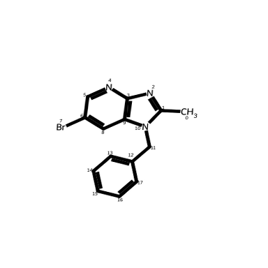 Cc1nc2ncc(Br)cc2n1Cc1ccccc1